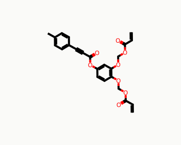 C=CC(=O)OCOc1ccc(OC(=O)C#Cc2ccc(C)cc2)cc1OCOC(=O)C=C